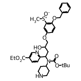 CCOC(=O)c1ccc(C(CC(O)COc2ccc(OCc3ccccc3)c([S+](C)[O-])c2)N(C(=O)OC(C)(C)C)C2CCNCC2)nc1